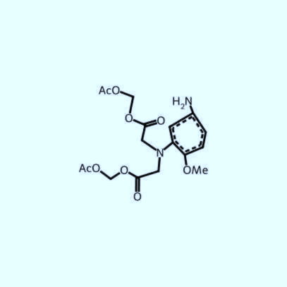 COc1ccc(N)cc1N(CC(=O)OCOC(C)=O)CC(=O)OCOC(C)=O